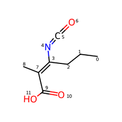 CCC/C(N=C=O)=C(/C)C(=O)O